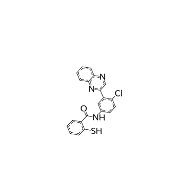 O=C(Nc1ccc(Cl)c(-c2cnc3ccccc3n2)c1)c1ccccc1S